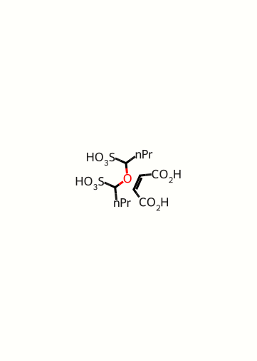 CCCC(OC(CCC)S(=O)(=O)O)S(=O)(=O)O.O=C(O)/C=C\C(=O)O